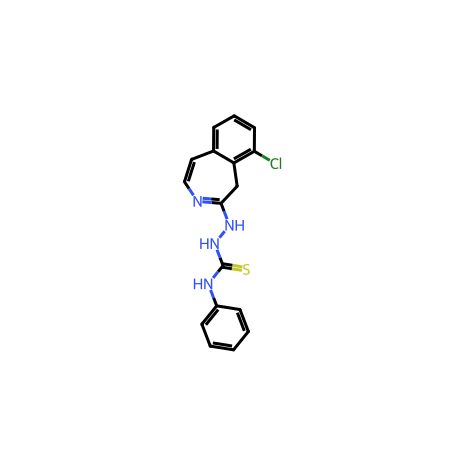 S=C(NNC1=NC=Cc2cccc(Cl)c2C1)Nc1ccccc1